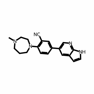 CN1CCCN(c2ccc(-c3cnc4[nH]ccc4c3)cc2C#N)CC1